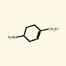 CCOC(=O)C1=CCC(NC(C)=O)CC1